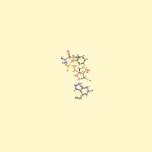 CNc1nc(C)nc2c1ncn2[C@@H]1O[C@](CCl)(CO[P@](=S)(N[C@@H](C)C(=O)OC)Oc2ccccc2)[C@@H](O)[C@H]1F